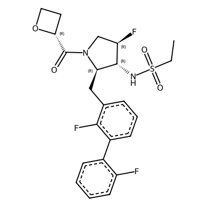 CCS(=O)(=O)N[C@H]1[C@H](F)CN(C(=O)[C@H]2CCO2)[C@@H]1Cc1cccc(-c2ccccc2F)c1F